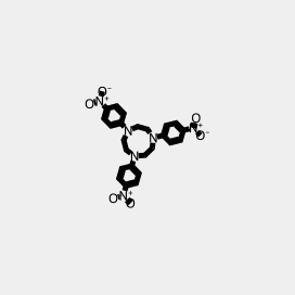 O=[N+]([O-])c1ccc(N2CCN(c3ccc([N+](=O)[O-])cc3)CCN(c3ccc([N+](=O)[O-])cc3)CC2)cc1